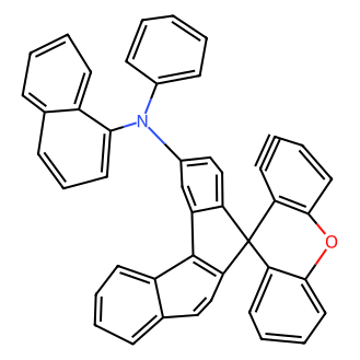 c1ccc2c(c#1)C1(c3ccccc3O2)c2ccc(N(c3ccccc3)c3cccc4ccccc34)cc2-c2c1ccc1ccccc21